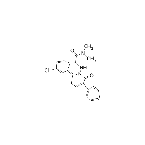 CN(C)C(=O)C1=c2ccc(Cl)cc2=C2CC=C(c3ccccc3)C(=O)N2N1